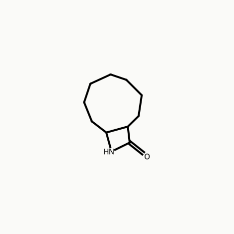 O=C1NC2CCCCCCCC12